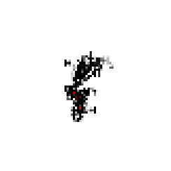 CCCC1O[C@@H]2C[C@H]3[C@@H]4CC/C5=C/COC/C=C\[C@]5(C)[C@H]4[C@@H](O)C[C@]3(C)[C@]2(C(=O)COP(=O)(O)OP(=O)(O)OCc2ccc(NC(=O)[C@@H](NC(=O)[C@@H](N)C(C)C)[C@H](O)CCNC(N)=O)cc2)O1